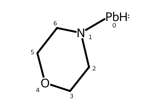 [PbH][N]1CCOCC1